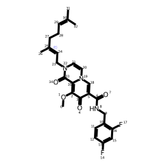 COc1c(=O)c(C(=O)NCc2ccc(F)cc2F)cn2ccn(C/C=C(\C)CCC=C(C)C)c(=O)c12